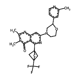 Cc1cc(C2CN(c3cc4nc(C)n(C)c(=O)c4c(C45CC(C(F)(F)F)(C4)C5)n3)CCO2)ccn1